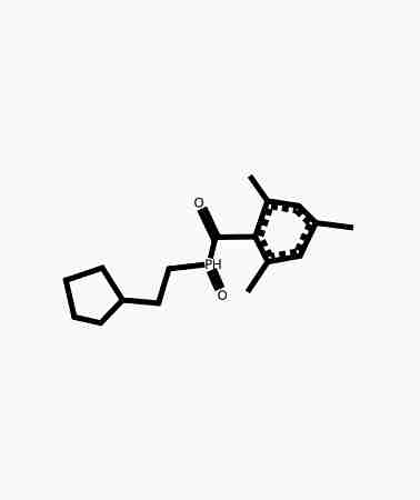 Cc1cc(C)c(C(=O)[PH](=O)CCC2CCCC2)c(C)c1